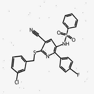 N#Cc1cc(NS(=O)(=O)c2ccccc2)c(-c2ccc(F)cc2)nc1SCc1cccc(Cl)c1